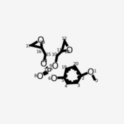 COc1ccc(OP(=O)(OCC2CO2)OCC2CO2)cc1